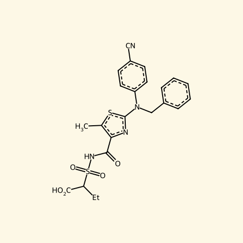 CCC(C(=O)O)S(=O)(=O)NC(=O)c1nc(N(Cc2ccccc2)c2ccc(C#N)cc2)sc1C